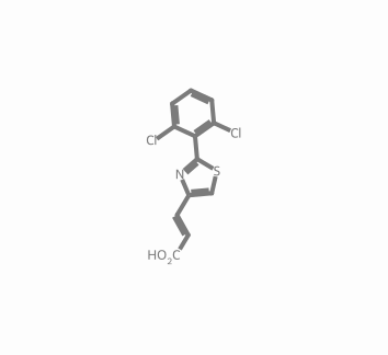 O=C(O)/C=C/c1csc(-c2c(Cl)cccc2Cl)n1